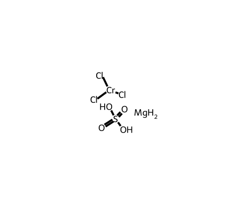 O=S(=O)(O)O.[Cl][Cr]([Cl])[Cl].[MgH2]